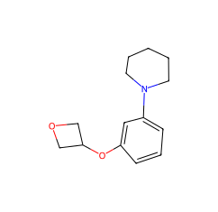 c1cc(OC2COC2)cc(N2CCCCC2)c1